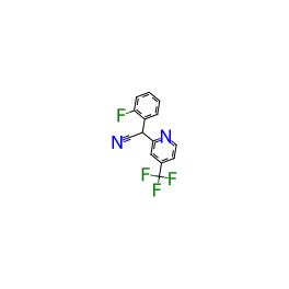 N#CC(c1cc(C(F)(F)F)ccn1)c1ccccc1F